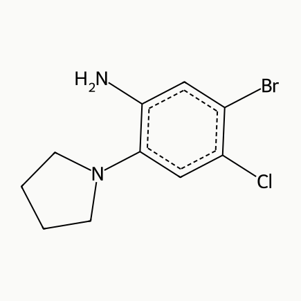 Nc1cc(Br)c(Cl)cc1N1CCCC1